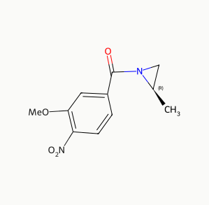 COc1cc(C(=O)N2C[C@H]2C)ccc1[N+](=O)[O-]